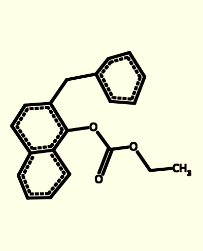 CCOC(=O)Oc1c(Cc2ccccc2)ccc2ccccc12